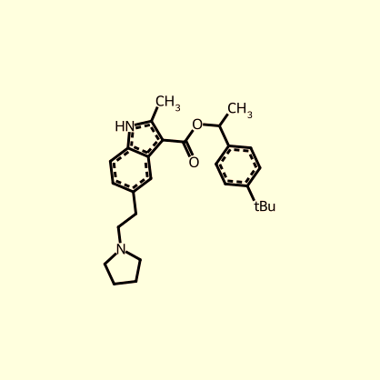 Cc1[nH]c2ccc(CCN3CCCC3)cc2c1C(=O)OC(C)c1ccc(C(C)(C)C)cc1